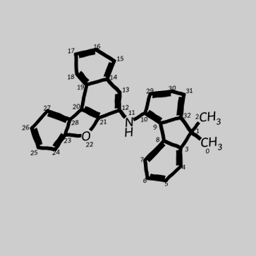 CC1(C)c2ccccc2-c2c(Nc3cc4ccccc4c4c3oc3ccccc34)cccc21